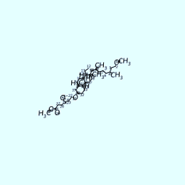 COCCC(C)CCC[C@@H](C)[C@H]1CC[C@H]2[C@@H]3CC=C4C[C@@H](OCC[S+]([O-])CCC(=O)OC)CC[C@]4(C)[C@H]3CC[C@]12C